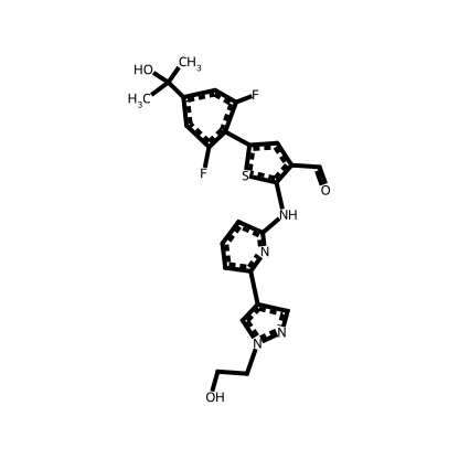 CC(C)(O)c1cc(F)c(-c2cc(C=O)c(Nc3cccc(-c4cnn(CCO)c4)n3)s2)c(F)c1